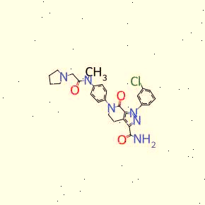 CN(C(=O)CN1CCCC1)c1ccc(N2CCc3c(C(N)=O)nn(-c4cccc(Cl)c4)c3C2=O)cc1